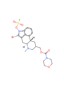 CN1CC(COC(=O)N2CCOCC2)C[C@H]2c3cccc4c3c(c(Br)n4OS(C)(=O)=O)C[C@@H]21